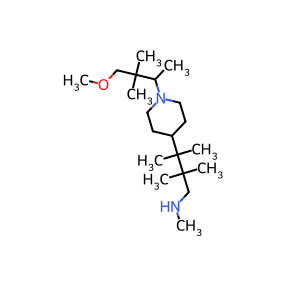 CNCC(C)(C)C(C)(C)C1CCN(C(C)C(C)(C)COC)CC1